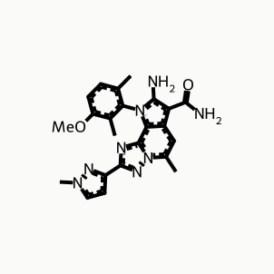 COc1ccc(C)c(-n2c(N)c(C(N)=O)c3cc(C)n4nc(-c5ccn(C)n5)nc4c32)c1C